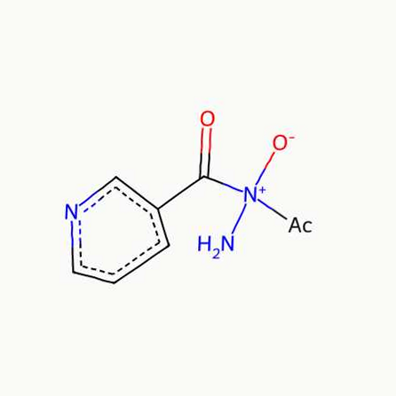 CC(=O)[N+](N)([O-])C(=O)c1cccnc1